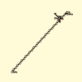 CCC(CC(C)(CC(C)(C)C(=O)OCCSCC(C)(C)C(O)OC)C(=O)OCCOCCOCCOCCOCCOCCOCCOCCOCCOCCOCCOCCOCCOCCOCCOCCOCCOCCOCCOCCOCCOCCOCCOC)C(=O)NCCCN(C)C